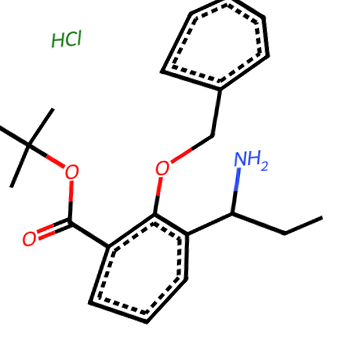 CCC(N)c1cccc(C(=O)OC(C)(C)C)c1OCc1ccccc1.Cl